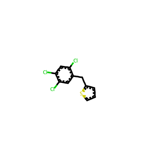 Clc1cc(Cl)c(Cc2cccs2)cc1Cl